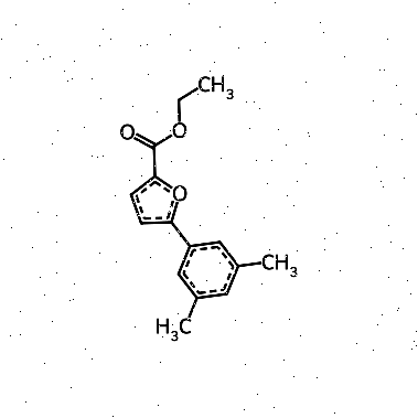 CCOC(=O)c1ccc(-c2cc(C)cc(C)c2)o1